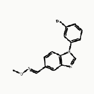 CON=Cc1ccc2c(c1)ncn2-c1cccc(Br)c1